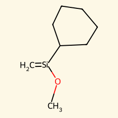 C=[Si](OC)C1CCCCC1